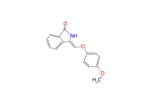 COc1ccc(O/C=C2\NC(=O)c3ccccc32)cc1